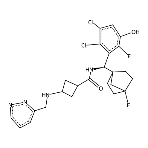 O=C(N[C@@H](c1c(F)c(O)cc(Cl)c1Cl)C12CCC(F)(CC1)C2)C1CC(NCc2cccnn2)C1